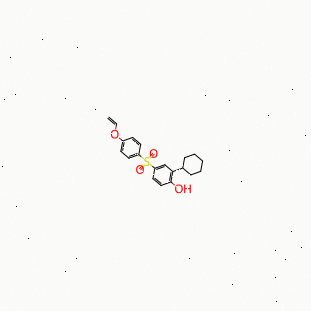 C=COc1ccc(S(=O)(=O)c2ccc(O)c(C3CCCCC3)c2)cc1